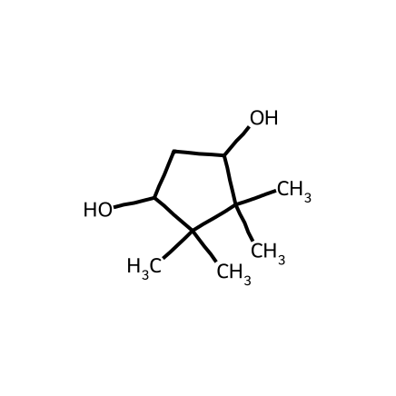 CC1(C)C(O)CC(O)C1(C)C